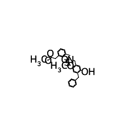 COC(=O)Cc1cccc(CN(Cc2ccc(Cc3ccccc3)c(O)c2)S(C)(=O)=O)c1